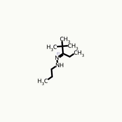 CCCN/N=C(\CC)C(C)(C)C